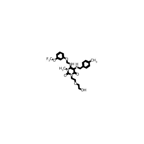 Cc1ccc(CNc2c(NCOc3cccc(OC(F)(F)F)c3)n(C)c(=O)n(CCOCCO)c2=O)cc1